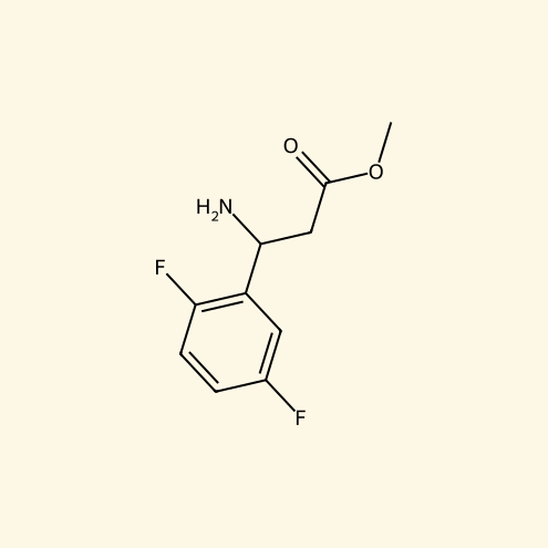 COC(=O)CC(N)c1cc(F)ccc1F